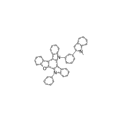 Cn1c(-c2cccc(-n3c4ccccc4c4c5c6ccccc6oc5c5c(c6ccccc6n5-c5ccccc5)c43)c2)cc2ccccc21